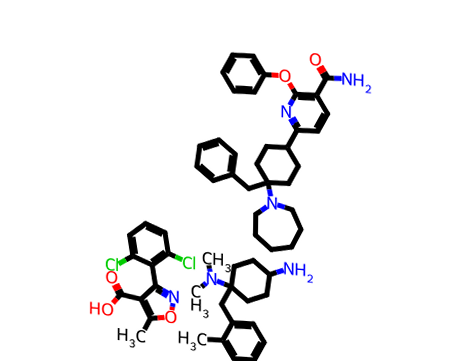 Cc1ccccc1CC1(N(C)C)CCC(N)CC1.Cc1onc(-c2c(Cl)cccc2Cl)c1C(=O)O.NC(=O)c1ccc(C2CCC(Cc3ccccc3)(N3CCCCCC3)CC2)nc1Oc1ccccc1